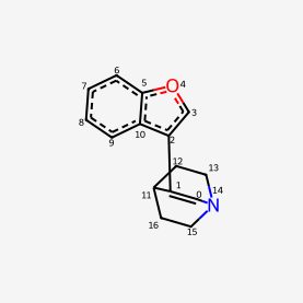 C1=C(c2coc3ccccc23)C2CCN1CC2